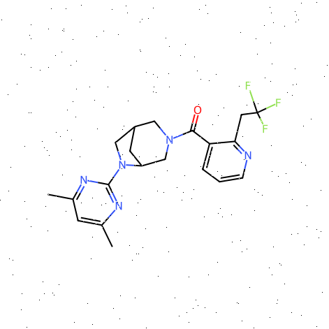 Cc1cc(C)nc(N2CC3CC2CN(C(=O)c2cccnc2CC(F)(F)F)C3)n1